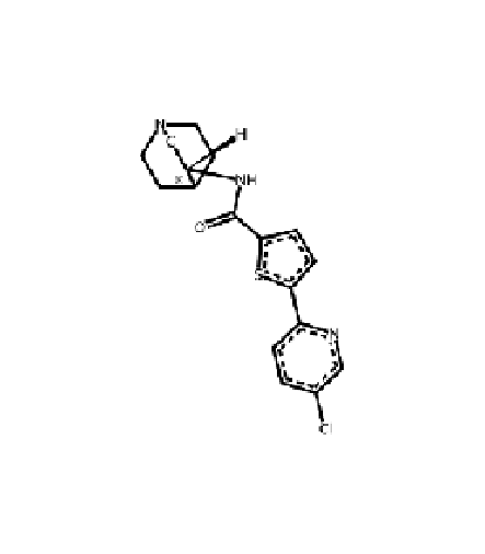 O=C(N[C@H]1CN2CCC1CC2)c1ccc(-c2ccc(Cl)cn2)s1